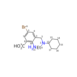 CCN(Cc1cc(Br)cc(C(=O)O)c1N)C1CCCCC1